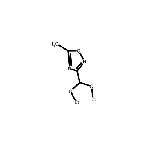 CCOC(OCC)c1noc(C)n1